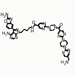 NCc1cnc(N2CCN(c3ncc(C(=O)N4CCN(c5ncc(C(=O)NCCCCn6nc(-c7ccc8oc(N)nc8c7)c7c(N)ncnc76)cn5)CC4)cn3)CC2)nc1